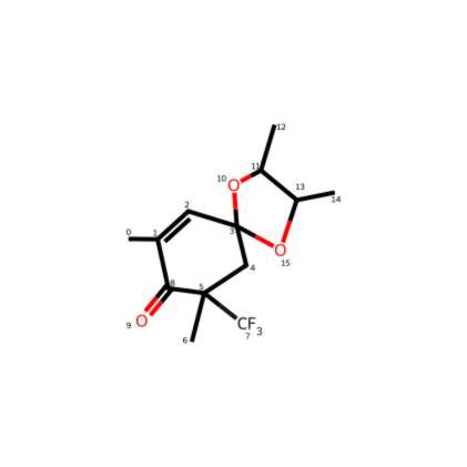 CC1=CC2(CC(C)(C(F)(F)F)C1=O)OC(C)C(C)O2